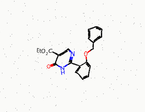 CCOC(=O)c1cnc(-c2ccccc2OCc2ccccc2)[nH]c1=O